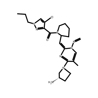 C=NN1C=C(C)C(N2CC[C@H](N)C2)=N/C1=C/C1CCCCN1C(=O)c1nn(CCC)cc1Cl